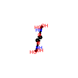 Cc1c(OCCCNCC(O)C(C)(C)O)cccc1-c1cccc(OCCCNCC(O)C(C)(C)O)c1C